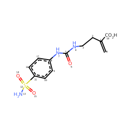 C=C(CCNC(=O)Nc1ccc(S(N)(=O)=O)cc1)C(=O)O